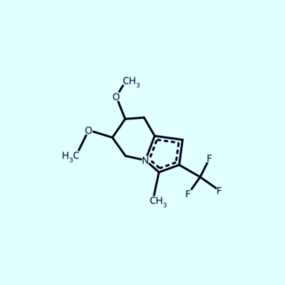 COC1Cc2cc(C(F)(F)F)c(C)n2CC1OC